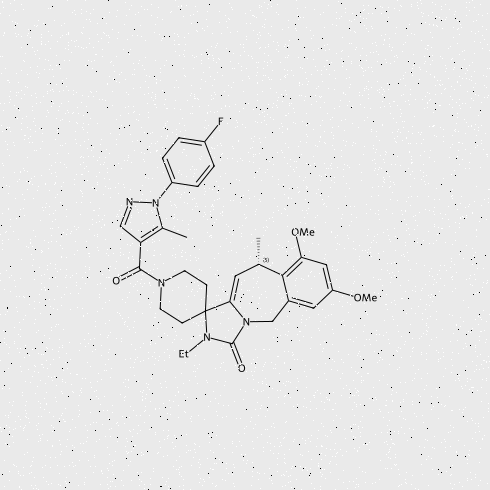 CCN1C(=O)N2Cc3cc(OC)cc(OC)c3[C@@H](C)C=C2C12CCN(C(=O)c1cnn(-c3ccc(F)cc3)c1C)CC2